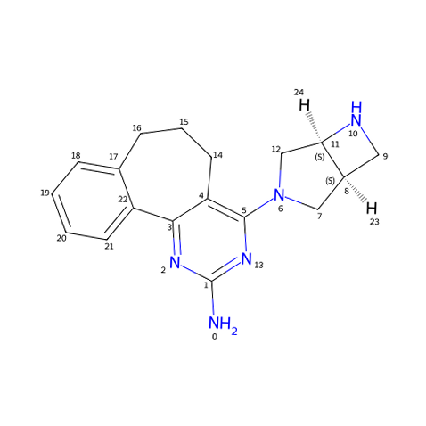 Nc1nc2c(c(N3C[C@@H]4CN[C@@H]4C3)n1)CCCc1ccccc1-2